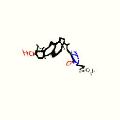 CC(CCC(=O)NCCS(=O)(=O)O)C1CCC2C3CC[C@@H]4C[C@H](O)CC[C@]4(C)C3CC[C@]12C